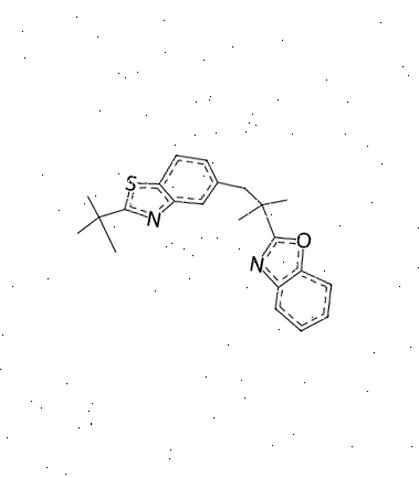 CC(C)(C)c1nc2cc(CC(C)(C)c3nc4ccccc4o3)ccc2s1